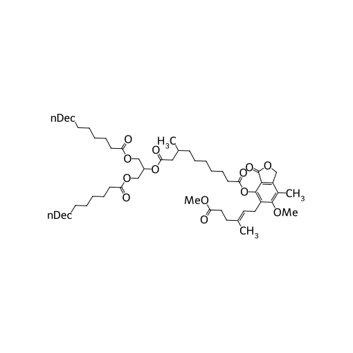 CCCCCCCCCCCCCCCC(=O)OCC(COC(=O)CCCCCCCCCCCCCCC)OC(=O)CC(C)CCCCCCC(=O)Oc1c(C/C=C(\C)CCC(=O)OC)c(OC)c(C)c2c1C(=O)OC2